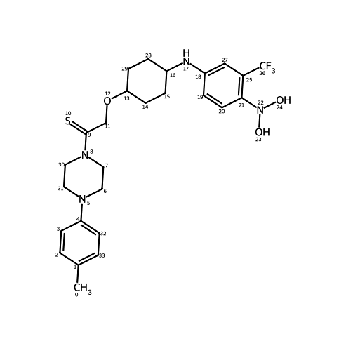 Cc1ccc(N2CCN(C(=S)COC3CCC(Nc4ccc(N(O)O)c(C(F)(F)F)c4)CC3)CC2)cc1